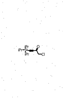 CC(C)[Si](C#CC(=O)CCl)(C(C)C)C(C)C